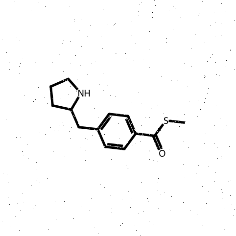 CSC(=O)c1ccc(CC2CCCN2)cc1